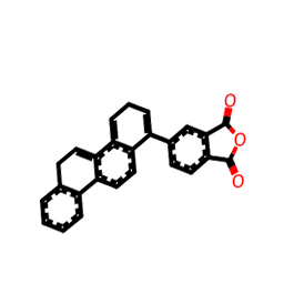 O=C1OC(=O)c2cc(C3=CCC=c4c3ccc3c4=CCc4ccccc4-3)ccc21